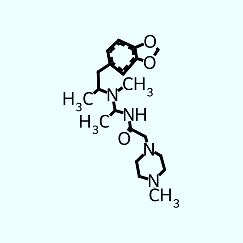 CC(Cc1ccc2c(c1)OCO2)N(C)C(C)NC(=O)CN1CCN(C)CC1